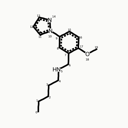 CCCCCNCc1cc(-n2cccn2)ccc1OC